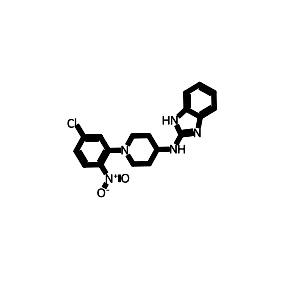 O=[N+]([O-])c1ccc(Cl)cc1N1CCC(Nc2nc3ccccc3[nH]2)CC1